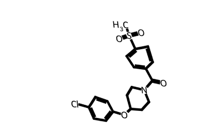 CS(=O)(=O)c1ccc(C(=O)N2CCC(Oc3ccc(Cl)cc3)CC2)cc1